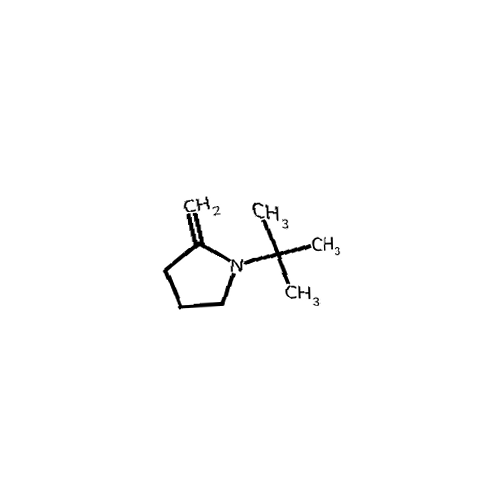 C=C1CCCN1C(C)(C)C